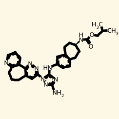 CC(C)COC(=O)N[C@H]1CCc2ccc(Nc3nc(N)nn3-c3cc4c(nn3)-c3cccnc3CCC4)cc2CC1